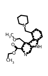 CCOC(=O)c1ncc2[nH]c3cccc(CN4CCCCC4)c3c2c1COC